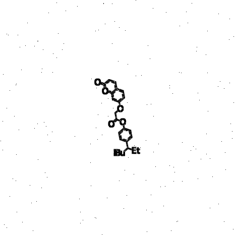 CCC(C)C(CC)c1ccc(OC(=O)COc2ccc3ccc(=O)oc3c2)cc1